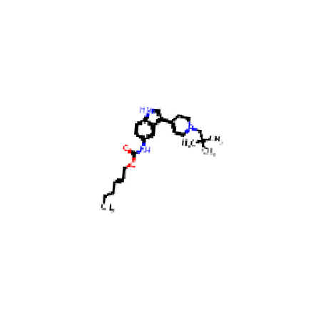 CCCC=CCOC(=O)Nc1ccc2[nH]cc(C3=CCN(CC(C)(C)C)CC3)c2c1